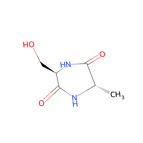 C[C@@H]1NC(=O)[C@@H](CO)NC1=O